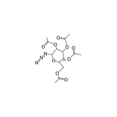 CC(=O)OCC1OC(N=[N+]=[N-])C(OC(C)=O)C(OC(C)=O)[C@@H]1OC(C)=O